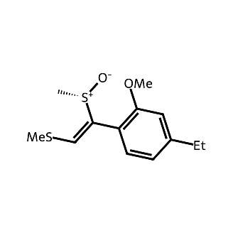 CCc1ccc(C(=CSC)[S@+](C)[O-])c(OC)c1